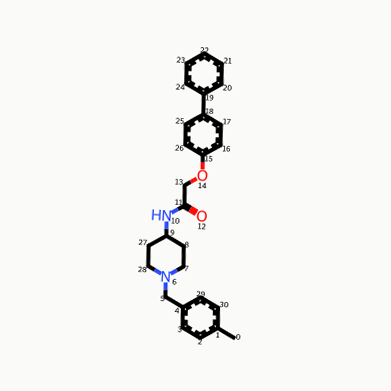 Cc1ccc(CN2CCC(NC(=O)COc3ccc(-c4ccccc4)cc3)CC2)cc1